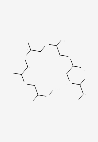 CCCCOC(C)COC(C)COC(C)COC(C)COC(C)COC(C)CO